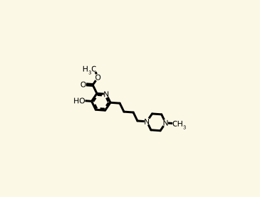 COC(=O)c1nc(CCCCN2CCN(C)CC2)ccc1O